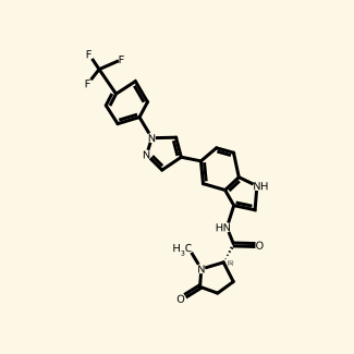 CN1C(=O)CC[C@H]1C(=O)Nc1c[nH]c2ccc(-c3cnn(-c4ccc(C(F)(F)F)cc4)c3)cc12